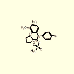 CS(=O)(=O)O[C@H]([C@@H](c1ccc(F)cc1)c1cccc(C(F)(F)F)c1)[C@H]1CCCN1.Cl